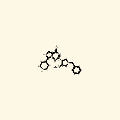 COC1CN(Cc2ccccc2)C[C@H]1c1nn2c(C3CCOCC3)ncc2c(=O)[nH]1